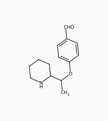 CC(Oc1ccc(C=O)cc1)C1CCCCN1